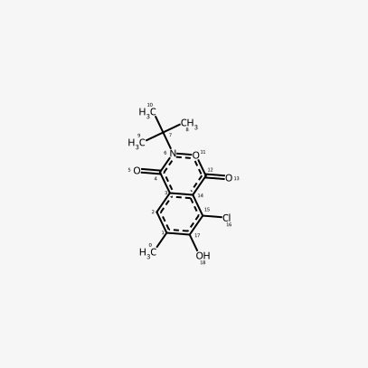 Cc1cc2c(=O)n(C(C)(C)C)oc(=O)c2c(Cl)c1O